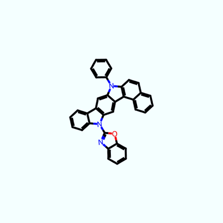 c1ccc(-n2c3cc4c5ccccc5n(-c5nc6ccccc6o5)c4cc3c3c4ccccc4ccc32)cc1